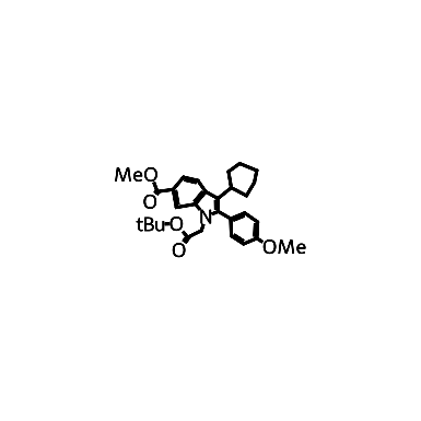 COC(=O)c1ccc2c(C3CCCCC3)c(-c3ccc(OC)cc3)n(CC(=O)OC(C)(C)C)c2c1